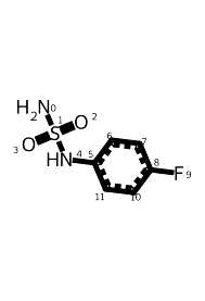 NS(=O)(=O)Nc1ccc(F)cc1